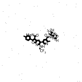 [2H]c1nc(C(C)(NC(=O)c2cc(-c3cc4c(C(=O)NC)c(-c5ccc(C)cc5)oc4nc3NCC(F)(F)F)cnc2C)C([2H])([2H])[2H])no1